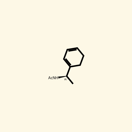 CC(=O)N[C@H](C)C1=CC=CCC1